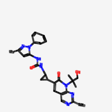 CNc1ncc2cc(C3CC3NC(=O)Nc3cc(C(C)(C)C)nn3-c3ccccc3)c(=O)n(C(C)(C)CO)c2n1